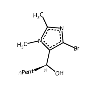 CCCCC[C@H](O)c1c(Br)nc(C)n1C